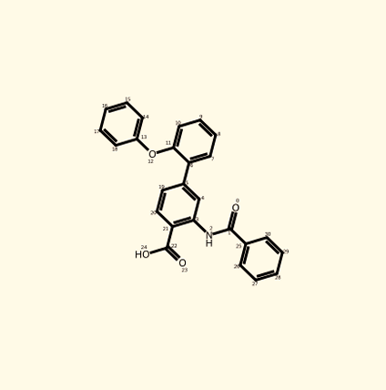 O=C(Nc1cc(-c2ccccc2Oc2ccccc2)ccc1C(=O)O)c1ccccc1